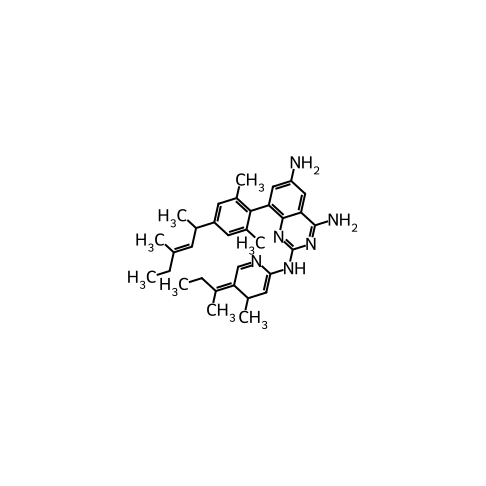 CC/C(C)=C1\C=NC(Nc2nc(N)c3cc(N)cc(-c4c(C)cc(C(C)/C=C(\C)CC)cc4C)c3n2)=CC1C